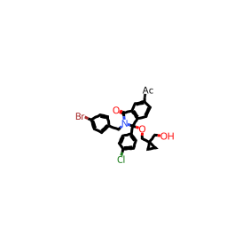 CC(=O)c1ccc2c(c1)C(=O)N(Cc1ccc(Br)cc1)C2(OCC1(CO)CC1)c1ccc(Cl)cc1